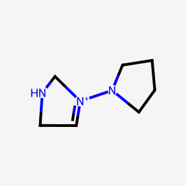 C1=[N+](N2CCCC2)CNC1